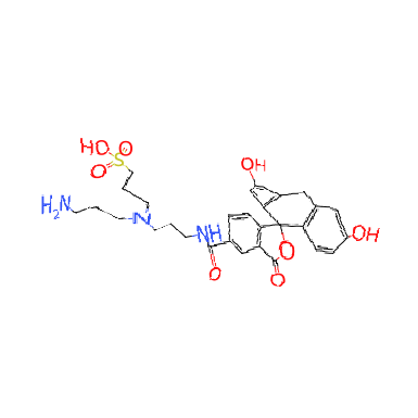 NCCCN(CCCNC(=O)c1ccc2c(c1)C(=O)OC21c2ccc(O)cc2Cc2cc(O)ccc21)CCCS(=O)(=O)O